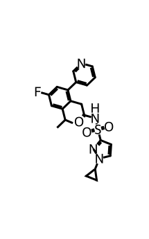 CC(C)c1cc(F)cc(-c2cccnc2)c1CC(=O)NS(=O)(=O)c1ccn(C2CC2)n1